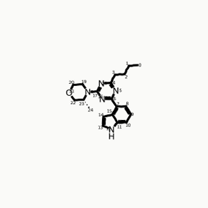 CCCCc1nc(-c2cccc3[nH]ccc23)nc(N2CCOC[C@H]2C)n1